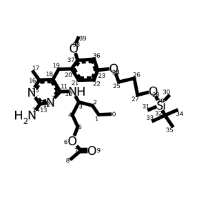 CCCC(CCOC(C)=O)Nc1nc(N)nc(C)c1Cc1ccc(OCCCO[Si](C)(C)C(C)(C)C)cc1OC